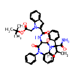 CC(C)C(C(N)=O)(c1ccccc1)N1C(=O)C(NC(=O)c2cc3ccccc3n2CC(=O)OC(C)(C)C)C(=O)N(c2ccccc2)c2ccccc21